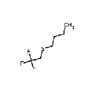 CCCCSCC(F)(F)F